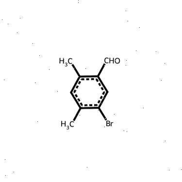 Cc1cc(C)c(C=O)cc1Br